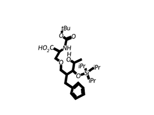 CC(O)C(O[Si](C(C)C)(C(C)C)C(C)C)C(COCC(NC(=O)OC(C)(C)C)C(=O)O)Cc1ccccc1